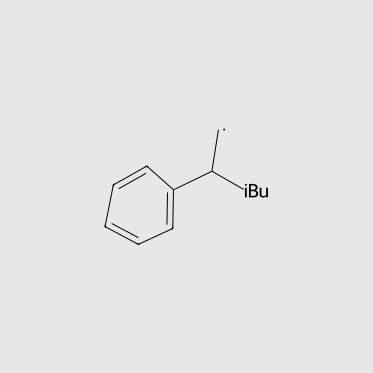 [CH2]C(c1ccccc1)C(C)CC